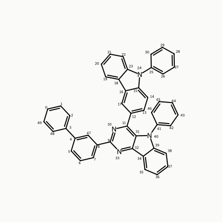 c1ccc(-c2cccc(-c3nc(-c4ccc5c(c4)c4ccccc4n5-c4ccccc4)c4c(n3)c3ccccc3n4-c3ccccc3)c2)cc1